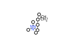 CC1(C)c2ccccc2-c2ccc(-c3ccc(-c4ccc5ccccc5c4-c4nc(-c5ccccc5)nc(-c5ccccc5)n4)cc3)cc21